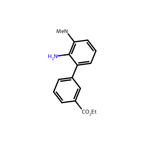 CCOC(=O)c1cccc(-c2cccc(NC)c2N)c1